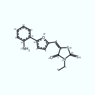 CCN1C(=O)/C(=C\c2ccc(-c3ccccc3N)o2)SC1=S